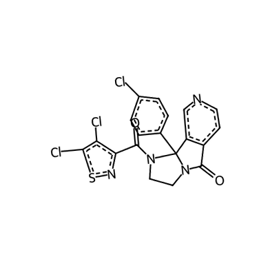 O=C1c2ccncc2C2(c3ccc(Cl)cc3)N1CCN2C(=O)c1nsc(Cl)c1Cl